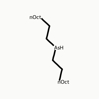 CCCCCCCCCC[AsH]CCCCCCCCCC